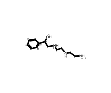 NCCNCCNCC(O)c1ccccc1